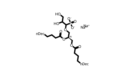 CCCCCCCCCCCCCC(=O)OC[C@H](COC(C(O)CO)P(=O)([O-])[O-])OC(=O)CCCCCCCCCCCCC.[Na+].[Na+]